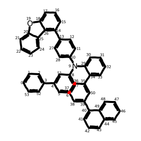 c1ccc(-c2cccc(N(c3ccc(-c4cccc5oc6ccccc6c45)cc3)c3ccccc3-c3cccc(-c4cccc5ccccc45)c3)c2)cc1